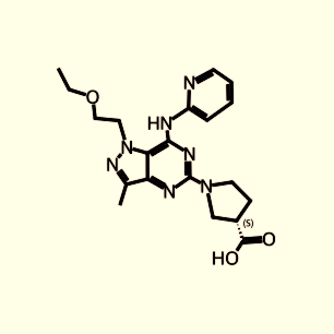 CCOCCn1nc(C)c2nc(N3CC[C@H](C(=O)O)C3)nc(Nc3ccccn3)c21